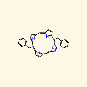 [C](c1ccccc1)c1c2nc(cc3ccc([nH]3)c([C]c3ccccc3)c3nc(cc4ccc1[nH]4)C=C3)C=C2